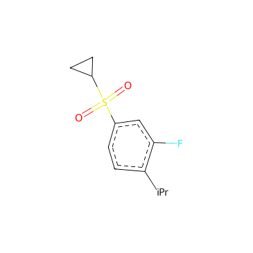 CC(C)c1ccc(S(=O)(=O)C2CC2)cc1F